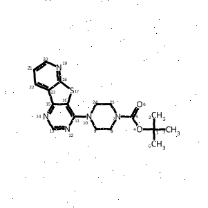 CC(C)(C)OC(=O)N1CCN(c2ncnc3c2sc2ncccc23)CC1